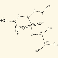 CCCC(CC(=O)O)S(=O)(=O)CC(F)C(F)F